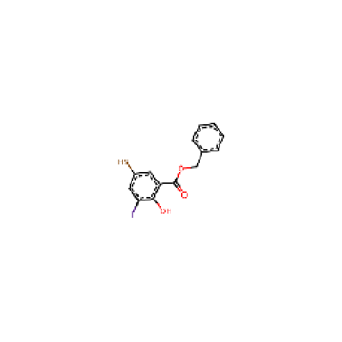 O=C(OCc1ccccc1)c1cc(S)cc(I)c1O